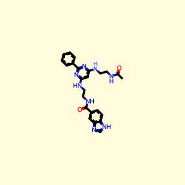 CC(=O)NCCNc1cc(NCCNC(=O)c2ccc3[nH]cnc3c2)nc(-c2ccccc2)n1